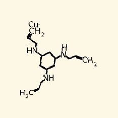 C=CCNC1CC(NCC=C)CC(NCC=C)C1.[Cu]